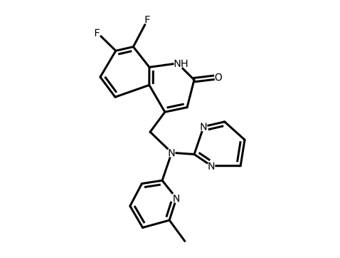 Cc1cccc(N(Cc2cc(=O)[nH]c3c(F)c(F)ccc23)c2ncccn2)n1